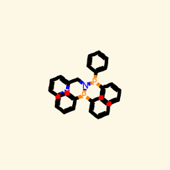 c1ccc(P(c2ccccc2)N(Cc2ccccn2)P(c2ccccc2)c2ccccc2)cc1